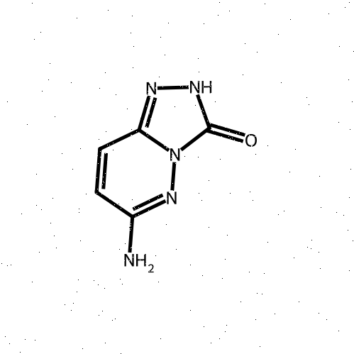 Nc1ccc2n[nH]c(=O)n2n1